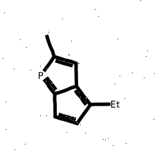 CCC1=C2[C]=C(C)P=C2C=C1